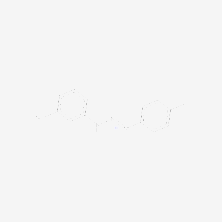 Cc1ccc(/N=N/Nc2cccc(C#N)c2)cc1